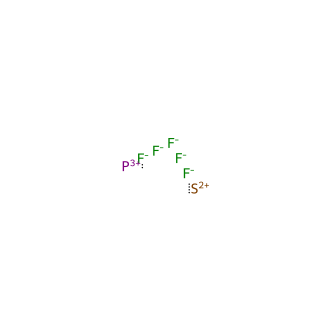 [F-].[F-].[F-].[F-].[F-].[P+3].[S+2]